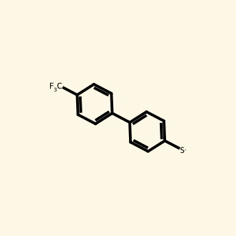 FC(F)(F)c1ccc(-c2ccc([S])cc2)cc1